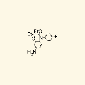 CCC1(CC)Oc2cc(N)ccc2N(c2ccc(F)cc2)C1=O